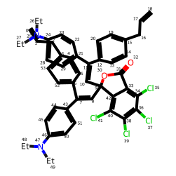 C=CCc1ccc(/C(=C\C2(/C=C(\c3ccc(CC=C)cc3)c3ccc(N(CC)CC)cc3)OC(=O)c3c(Cl)c(Cl)c(Cl)c(Cl)c32)c2ccc(N(CC)CC)cc2)cc1